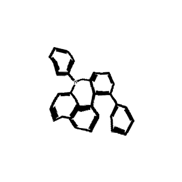 c1ccc(-c2cccc(N(c3ccccc3)c3ccccc3)c2-c2ccccc2)cc1